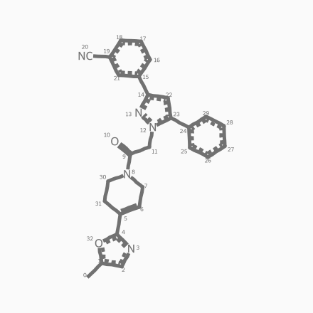 Cc1cnc(C2=CCN(C(=O)Cn3nc(-c4cccc(C#N)c4)cc3-c3ccccc3)CC2)o1